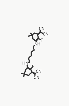 CC1(C)CC(NCCCCCCNC2=C(F)C(=C(C#N)C#N)CC(C)(C)C2)=C(F)C(=C(C#N)C#N)C1